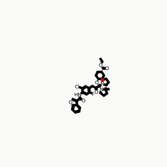 CCOC(=O)[C@H]1CC[C@H](OC(C(=O)Cc2cc(Cl)c(NC(=O)c3coc4ccccc34)cc2F)(N2CCCC2)N2CCCC2(C)C)CC1